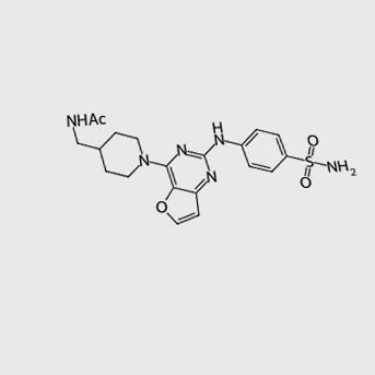 CC(=O)NCC1CCN(c2nc(Nc3ccc(S(N)(=O)=O)cc3)nc3ccoc23)CC1